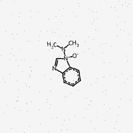 CN(C)[N+]1([O-])C=Nc2ccccc21